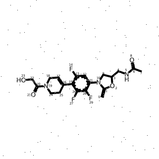 C=C1OC(CNC(C)=O)CN1c1cc(F)c(C2=CCN(C(=O)CO)CC2)c(F)c1F